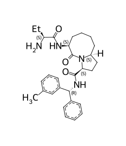 CC[C@H](N)C(=O)N[C@H]1CCCC[C@H]2CC[C@@H](C(=O)N[C@H](c3ccccc3)c3cccc(C)c3)N2C1=O